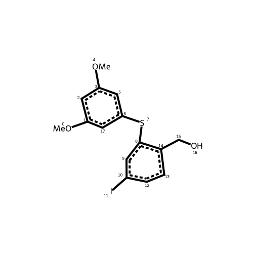 COc1cc(OC)cc(Sc2cc(I)ccc2CO)c1